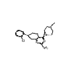 CN1CCN(c2nc(N)nc3c2CCC(c2ccccc2Cl)C3)CC1